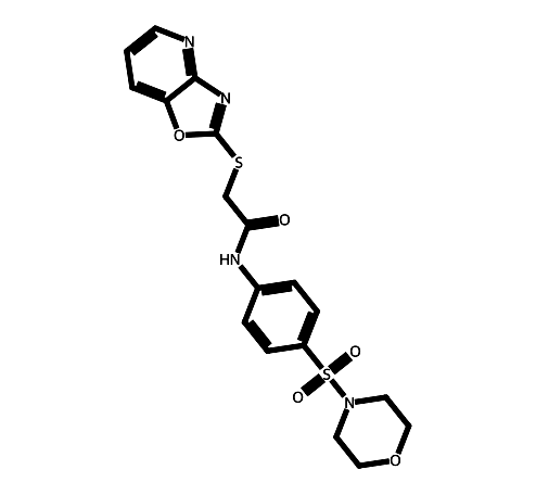 O=C(CSc1nc2ncccc2o1)Nc1ccc(S(=O)(=O)N2CCOCC2)cc1